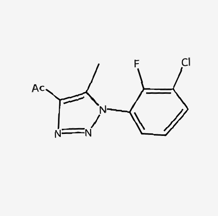 CC(=O)c1nnn(-c2cccc(Cl)c2F)c1C